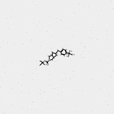 CC(C)(C)OC(=O)N1CC2CC(Cc3ccc(C(F)(F)F)cc3)CC2C1